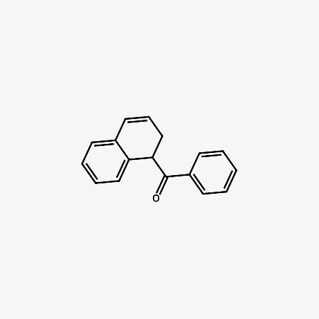 O=C(c1ccccc1)C1CC=Cc2ccccc21